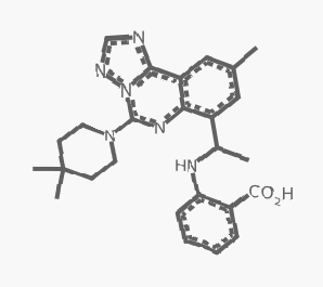 Cc1cc(C(C)Nc2ccccc2C(=O)O)c2nc(N3CCC(C)(C)CC3)n3ncnc3c2c1